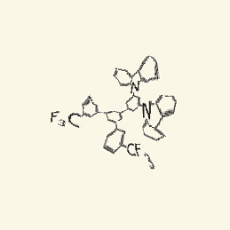 FC(F)(F)c1cccc(-c2cc(-c3cc(-n4c5ccccc5c5ccccc54)cc(-n4c5ccccc5c5ccccc54)c3)cc(-c3cccc(C(F)(F)F)c3)c2)c1